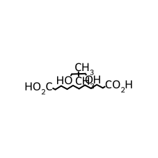 CC(C)(CO)CO.O=C(O)CCCCCCCCCC(=O)O